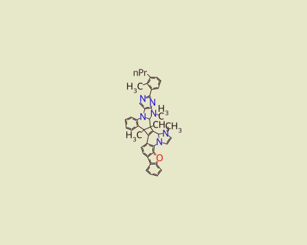 CCCc1cccc(-c2ncc3c(n2)N(C)C2N3c3ccccc3C3(C)C4=C(C5N(C)C=CN5c5c4ccc4c5oc5ccccc54)C23C)c1C